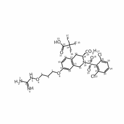 N=C(N)NOCCCOc1ccc2c(c1)CN(S(=O)(=O)c1c(Cl)cccc1Cl)[C@H](C(=O)O)C2.O=C(O)C(F)(F)F